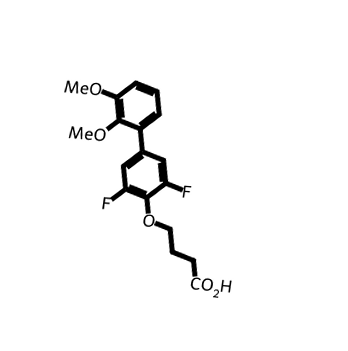 COc1cccc(-c2cc(F)c(OCCCC(=O)O)c(F)c2)c1OC